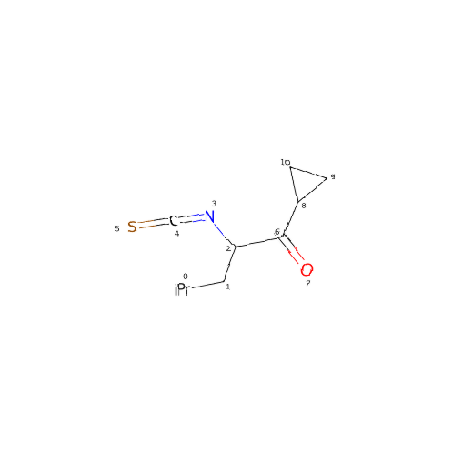 CC(C)CC(N=C=S)C(=O)C1CC1